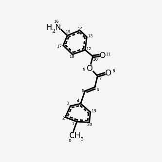 Cc1ccc(C=CC(=O)OC(=O)c2ccc(N)cc2)cc1